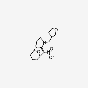 O=[N+]([O-])C1=C2N(CC3CCOC3)CCN2C2CCCC1O2